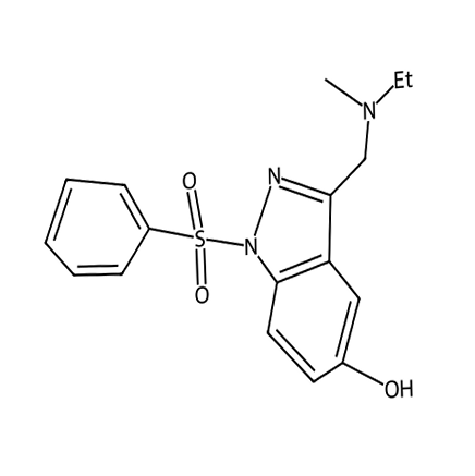 [CH2]CN(C)Cc1nn(S(=O)(=O)c2ccccc2)c2ccc(O)cc12